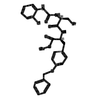 CC(C)C[C@H](NC(=O)Nc1ccccc1Cl)C(=O)N[C@@H](Cc1ccc(OCc2ccccc2)cc1)C(=O)OC(C)(C)C